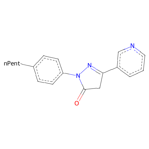 CCCCCc1ccc(N2N=C(c3cccnc3)CC2=O)cc1